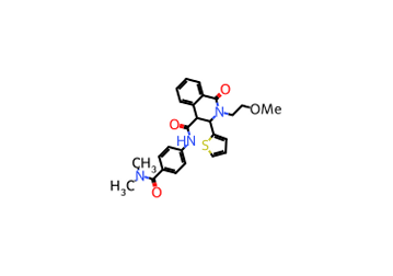 COCCN1C(=O)c2ccccc2C(C(=O)Nc2ccc(C(=O)N(C)C)cc2)C1c1cccs1